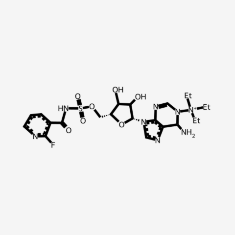 CC[N+](CC)(CC)N1C=Nc2c(ncn2[C@@H]2O[C@H](COS(=O)(=O)NC(=O)c3cccnc3F)C(O)C2O)C1N